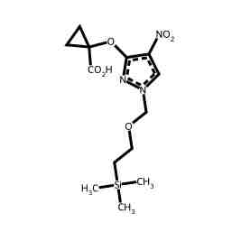 C[Si](C)(C)CCOCn1cc([N+](=O)[O-])c(OC2(C(=O)O)CC2)n1